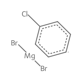 Clc1cc[c]cc1.[Br][Mg][Br]